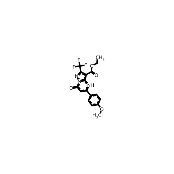 CCOC(=O)c1c(C(F)(F)F)nn2c(=O)cc(-c3ccc(OC)cc3)[nH]c12